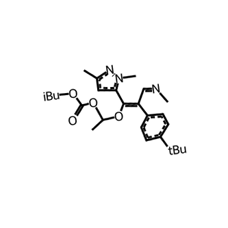 CCC(C)OC(=O)OC(C)O/C(=C(/C=N\C)c1ccc(C(C)(C)C)cc1)c1cc(C)nn1C